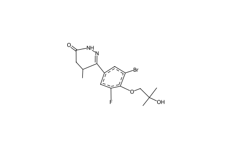 CC1CC(=O)NN=C1c1cc(F)c(OCC(C)(C)O)c(Br)c1